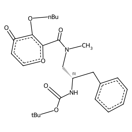 CCCCOc1c(C(=O)N(C)C[C@H](Cc2ccccc2)NC(=O)OC(C)(C)C)occc1=O